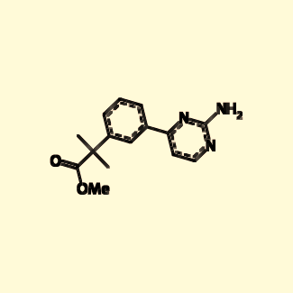 COC(=O)C(C)(C)c1cccc(-c2ccnc(N)n2)c1